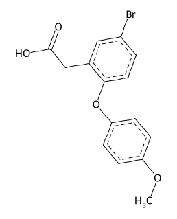 COc1ccc(Oc2ccc(Br)cc2CC(=O)O)cc1